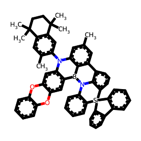 Cc1cc2c3c(c1)N(c1cc4c(cc1C)C(C)(C)CCC4(C)C)c1cc4c(cc1B3N1c3ccccc3[Si]3(c5ccccc5-c5ccccc53)c3cccc-2c31)Oc1ccccc1O4